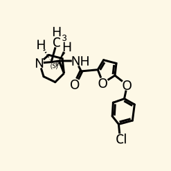 C[C@H]1[C@H](NC(=O)c2ccc(Oc3ccc(Cl)cc3)o2)C2CCN1CC2